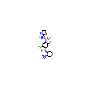 CN(C)[C@H]1CCCC[C@@H]1Nc1cc(F)c([S+]([O-])Nc2nccs2)cc1Cl